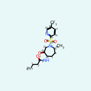 CC(C)C[CH]C(=O)N[C@H]1CC[C@@H](C)N(S(=O)(=O)c2ccc(C(F)(F)F)cn2)CC1=O